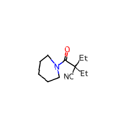 CCC(C#N)(CC)C(=O)N1CCCCC1